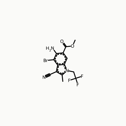 COC(=O)c1cc2c(c(Br)c1N)c(C#N)c(C)n2CC(F)(F)F